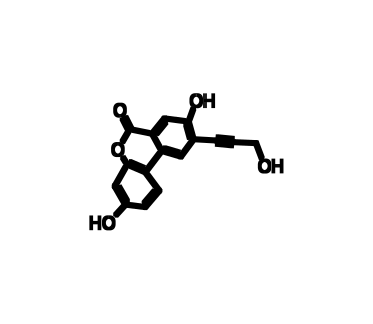 O=c1oc2cc(O)ccc2c2cc(C#CCO)c(O)cc12